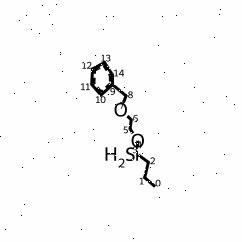 CCC[SiH2]OCCOCc1ccccc1